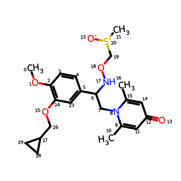 COc1ccc(C(Cn2c(C)cc(=O)cc2C)NOC[S+](C)[O-])cc1OCC1CC1